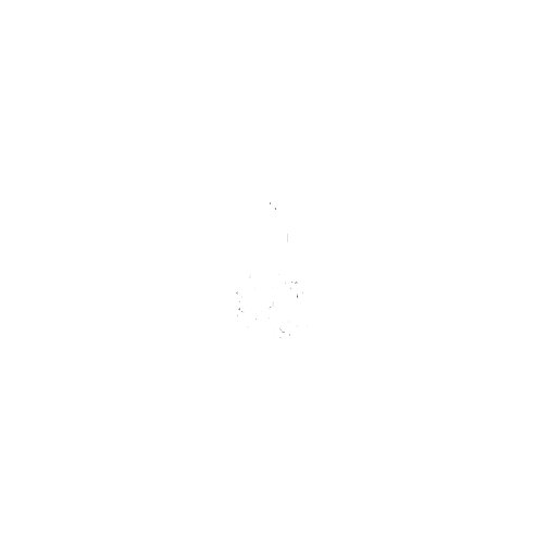 N=P[C]12[CH]3[CH]4[CH]5[CH]1[Fe]45321678[CH]2[CH]1[CH]6[CH]7[CH]28